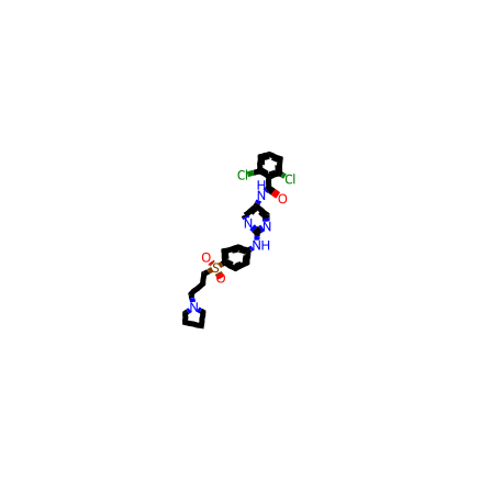 O=C(Nc1cnc(Nc2ccc(S(=O)(=O)CCCN3CCCC3)cc2)nc1)c1c(Cl)cccc1Cl